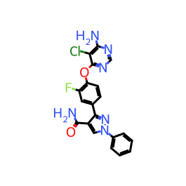 NC(=O)c1cn(-c2ccccc2)nc1-c1ccc(Oc2ncnc(N)c2Cl)c(F)c1